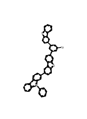 Clc1cc(-c2ccc3c(c2)sc2ccc(-c4ccc5c6ccccc6n(-c6ccccc6)c5c4)cc23)cc(-c2ccc3sc4ccccc4c3c2)c1